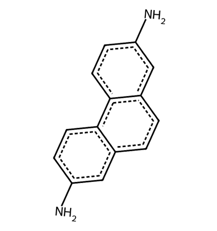 Nc1ccc2c(ccc3cc(N)ccc32)c1